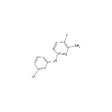 Nc1nc(Oc2cccc(Cl)c2)ncc1F